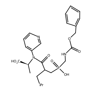 CC(C)CC(CP(=O)(O)CNC(=O)OCc1ccccc1)C(=O)N(c1cccnc1)[C@@H](C)C(=O)O